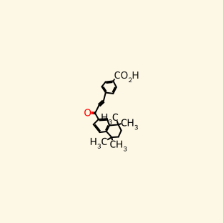 CC1(C)CCC(C)(C)c2cc(C(=O)C#Cc3ccc(C(=O)O)cc3)ccc21